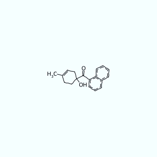 CC1=CCC(O)(C(=O)c2cccc3ccccc23)CC1